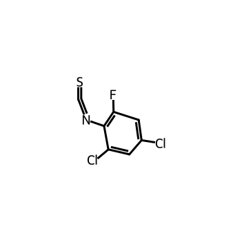 Fc1cc(Cl)cc(Cl)c1N=C=S